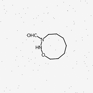 O=[C]N1CCCCCCCON1